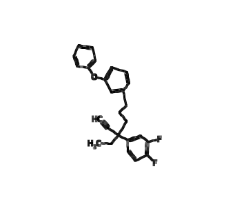 C#CC(CC)(CCCc1cccc(Oc2ccccc2)c1)c1ccc(F)c(F)c1